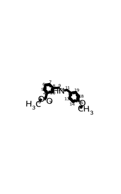 COC(=O)c1cccc(CNCc2ccc(OC)cc2)c1